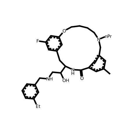 CCCN1CCCCOc2cc(F)cc(c2)CC(C(O)CNCc2cccc(CC)c2)NC(=O)c2cc(C)cc(c2)C1